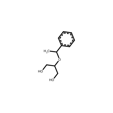 CC(OC(CO)CO)c1ccccc1